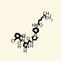 CN(C)C/C=C/C(=O)Nc1ccc(N2CCC(NC(=O)c3n[nH]cc3NC(O)c3c(Cl)cccc3Cl)C2)cc1